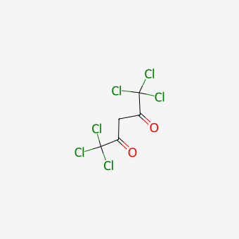 O=C(CC(=O)C(Cl)(Cl)Cl)C(Cl)(Cl)Cl